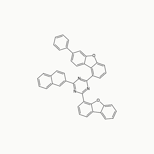 c1ccc(-c2ccc3c(c2)oc2cccc(-c4nc(-c5ccc6ccccc6c5)nc(-c5cccc6c5oc5ccccc56)n4)c23)cc1